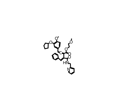 COCCOC(=O)C(=C=Cc1ccc(OC)c(OC2CCCC2)c1)/C(=C\c1ccccc1)C(=O)NCc1ccccn1